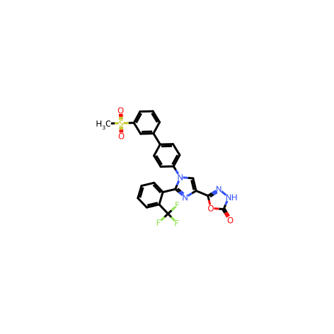 CS(=O)(=O)c1cccc(-c2ccc(-n3cc(-c4n[nH]c(=O)o4)nc3-c3ccccc3C(F)(F)F)cc2)c1